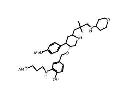 COCCCNc1cc(CO[C@H]2CNC(CC(C)(C)CNC3CCOCC3)CC2c2ccc(OC)cc2)ccc1O